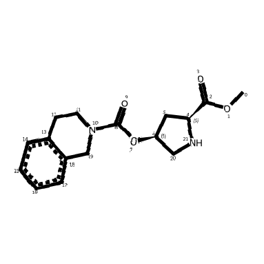 COC(=O)[C@@H]1C[C@H](OC(=O)N2CCc3ccccc3C2)CN1